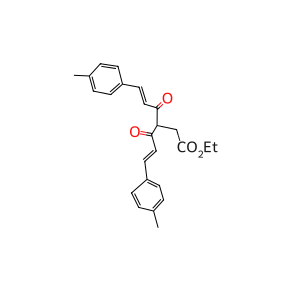 CCOC(=O)CC(C(=O)/C=C/c1ccc(C)cc1)C(=O)/C=C/c1ccc(C)cc1